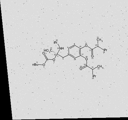 CCCCOC(=O)O[C@](Cc1ccc(OC(=O)C(C)C(C)C)c(OC(=O)C(C)C(C)C)c1)(NC(C)C)C(=O)O